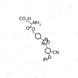 CC(C)Oc1ccc(-c2nc(-c3ccc(COC(=O)C(N)CC(=O)O)cc3)no2)cc1C#N